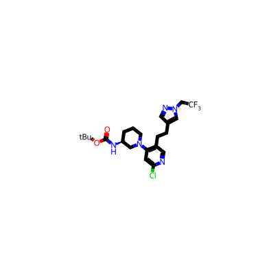 CC(C)(C)OC(=O)N[C@H]1CCCN(c2cc(Cl)ncc2CCc2cnn(CC(F)(F)F)c2)C1